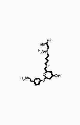 CCCC/C(=C/N(N)CCCCOCC1CC(O)CC(Oc2ccc(CCN)cc2)O1)C(C)CC